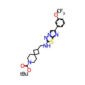 CC(C)(C)OC(=O)N1CCC2(CC1)CC(CNc1nn3cc(-c4cccc(OC(F)(F)F)c4)nc3s1)C2